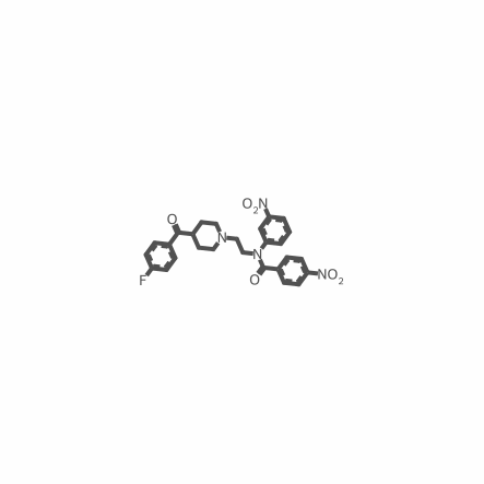 O=C(c1ccc(F)cc1)C1CCN(CCN(C(=O)c2ccc([N+](=O)[O-])cc2)c2cccc([N+](=O)[O-])c2)CC1